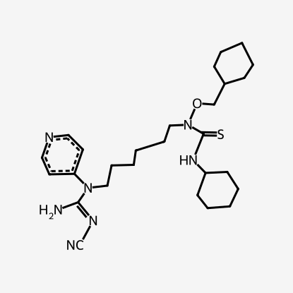 N#CN=C(N)N(CCCCCCN(OCC1CCCCC1)C(=S)NC1CCCCC1)c1ccncc1